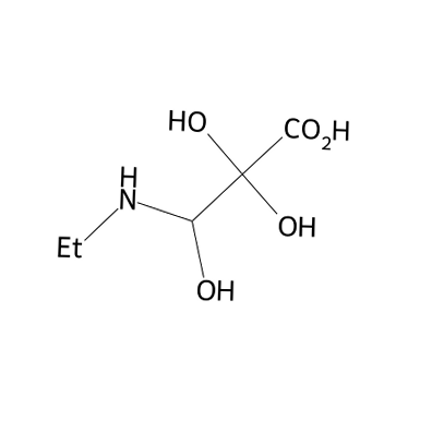 CCNC(O)C(O)(O)C(=O)O